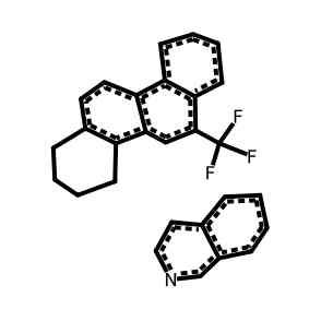 FC(F)(F)c1cc2c3c(ccc2c2ccccc12)CCCC3.c1ccc2cnccc2c1